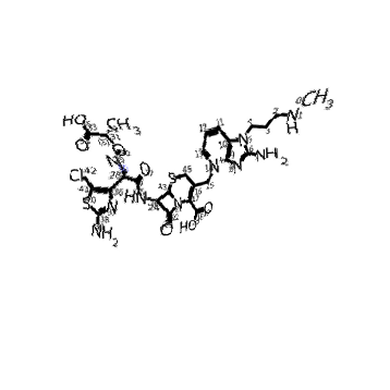 CNCCCn1c(N)nc2c1ccc[n+]2CC1=C(C(=O)O)N2C(=O)[C@@H](NC(=O)/C(=N\O[C@@H](C)C(=O)O)c3nc(N)sc3Cl)C2SC1